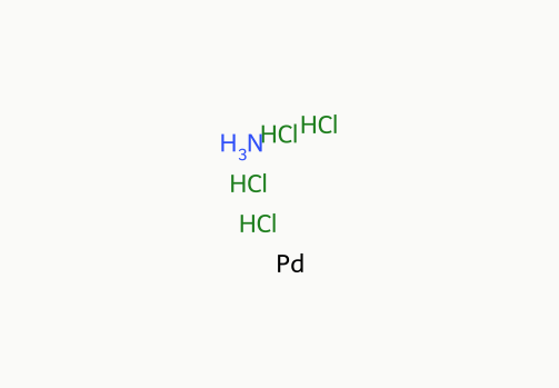 Cl.Cl.Cl.Cl.N.[Pd]